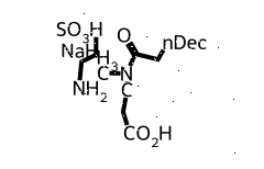 CCCCCCCCCCCC(=O)N(C)CCC(=O)O.NCCS(=O)(=O)O.[NaH]